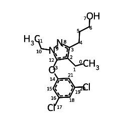 CCc1c(CCCO)nn(CC)c1Oc1cc(Cl)cc(Cl)c1